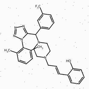 Cc1cccc(C)c1-n1nnnc1C(c1cccc(C(F)(F)F)c1)N1CCN(CC=Cc2ccccc2O)CC1